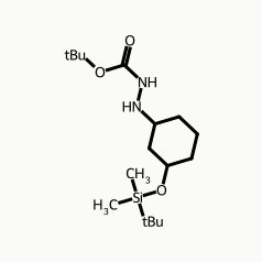 CC(C)(C)OC(=O)NNC1CCCC(O[Si](C)(C)C(C)(C)C)C1